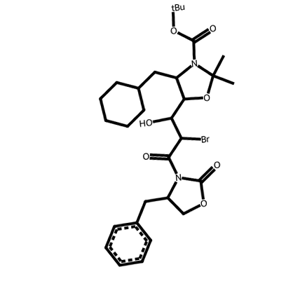 CC(C)(C)OC(=O)N1C(CC2CCCCC2)C(C(O)C(Br)C(=O)N2C(=O)OCC2Cc2ccccc2)OC1(C)C